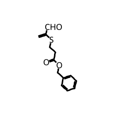 C=C(C=O)SCCC(=O)OCc1ccccc1